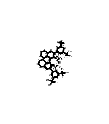 O=S1(=O)NS(=O)(=O)c2c(-c3cc(C(F)(F)F)cc(C(F)(F)F)c3)cc3c(c2-c2c4c(cc(-c5cc(C(F)(F)F)cc(C(F)(F)F)c5)c21)CCCC4)CCCC3